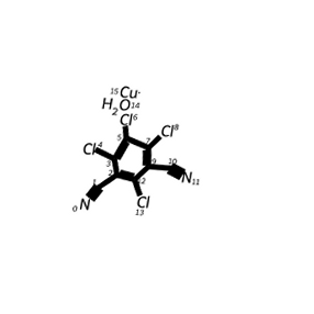 N#Cc1c(Cl)c(Cl)c(Cl)c(C#N)c1Cl.O.[Cu]